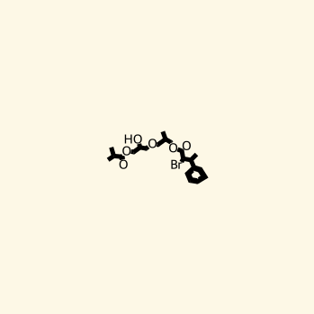 CC(COCC(O)COC(=O)C(C)C)COC(=O)C(Br)C(C)c1ccccc1